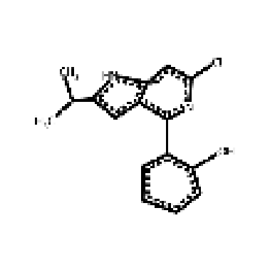 CC(C)c1cc2c(-c3ccccc3O)nc(Cl)cc2[nH]1